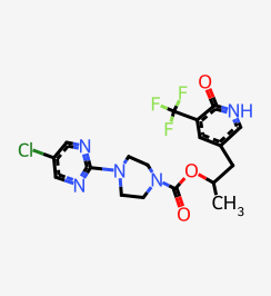 CC(Cc1c[nH]c(=O)c(C(F)(F)F)c1)OC(=O)N1CCN(c2ncc(Cl)cn2)CC1